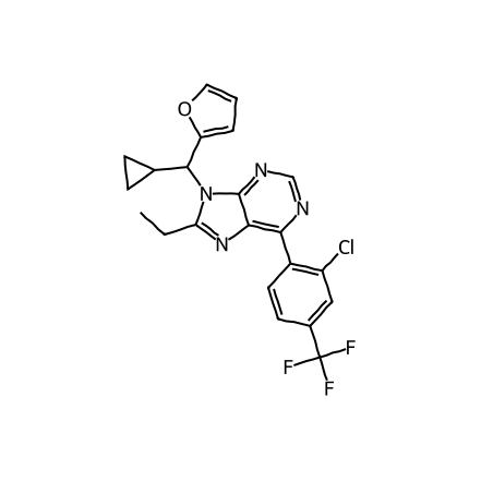 CCc1nc2c(-c3ccc(C(F)(F)F)cc3Cl)ncnc2n1C(c1ccco1)C1CC1